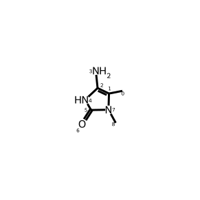 Cc1c(N)[nH]c(=O)n1C